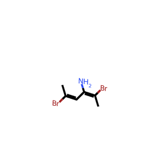 C/C(Br)=C(N)\C=C(/C)Br